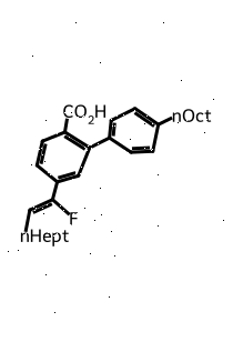 CCCCCCCC=C(F)c1ccc(C(=O)O)c(-c2ccc(CCCCCCCC)cc2)c1